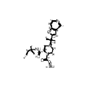 CC(C)(CF)NC(=O)[C@@H]1CN(C(C)(C)c2cc3cnccc3o2)CCN1C(=O)OC(C)(C)C